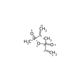 C=CP(C)(=O)OP(C)(=O)C=C